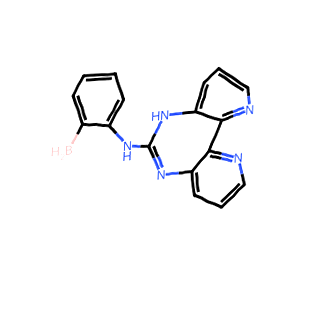 Bc1ccccc1NC1=Nc2cccnc2-c2ncccc2N1